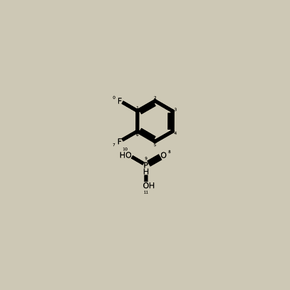 Fc1ccccc1F.O=[PH](O)O